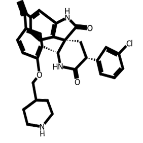 C#Cc1ccc(OCC2CCNCC2)c([C@H]2NC(=O)[C@@H](c3cccc(Cl)c3)C[C@]23C(=O)Nc2cc(Cl)ccc23)c1